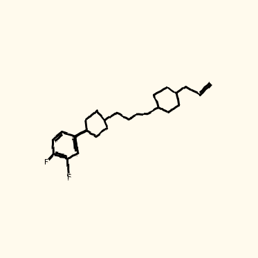 C=CCC1CCC(CCCCC2CCC(c3ccc(F)c(F)c3)CC2)CC1